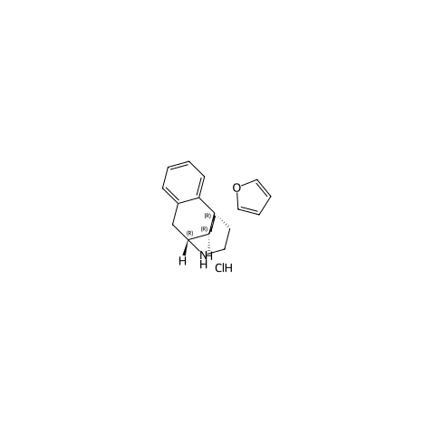 Cl.c1ccc2c(c1)C[C@H]1NCC[C@@]23CCCC[C@@H]13.c1ccoc1